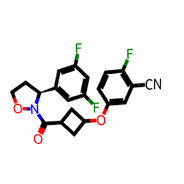 N#Cc1cc(OC2CC(C(=O)N3OCC[C@H]3c3cc(F)cc(F)c3)C2)ccc1F